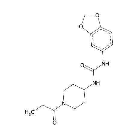 CCC(=O)N1CCC(NC(=O)Nc2ccc3c(c2)OCO3)CC1